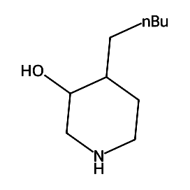 [CH2]CCCCC1CCNCC1O